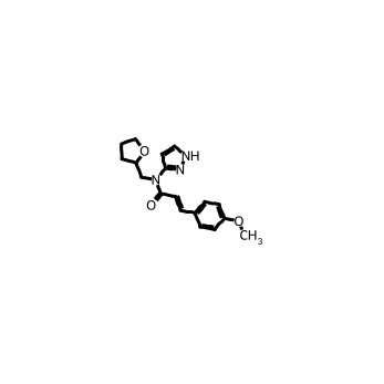 COc1ccc(C=CC(=O)N(CC2CCCO2)c2cc[nH]n2)cc1